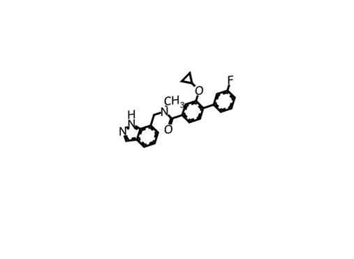 CN(Cc1cccc2cn[nH]c12)C(=O)c1ccc(-c2cccc(F)c2)c(OC2CC2)c1